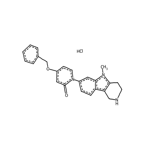 Cl.Cn1c2c(c3ccc(-n4ccc(OCc5ccccc5)cc4=O)cc31)CNCC2